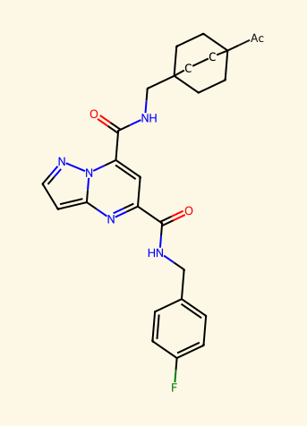 CC(=O)C12CCC(CNC(=O)c3cc(C(=O)NCc4ccc(F)cc4)nc4ccnn34)(CC1)CC2